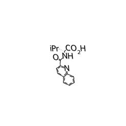 CC(C)[C@@H](NC(=O)c1ccc2ccccc2n1)C(=O)O